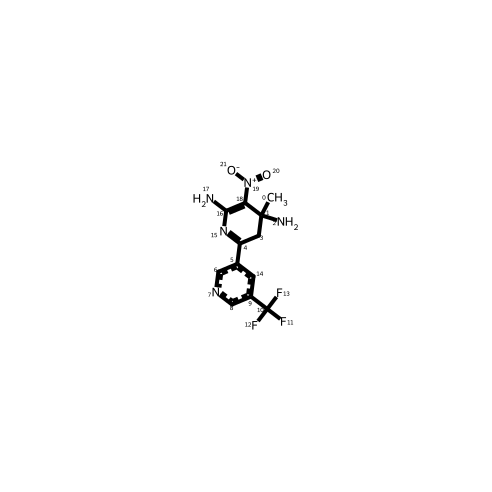 CC1(N)CC(c2cncc(C(F)(F)F)c2)=NC(N)=C1[N+](=O)[O-]